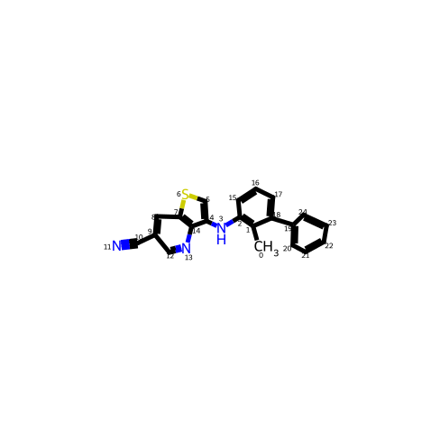 Cc1c(Nc2csc3cc(C#N)cnc23)cccc1-c1ccccc1